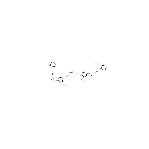 COc1ccccc1OCCNC(C)Cc1ccc(OCOC(=O)C(=O)OCOc2ccc(CC(C)NCCOc3ccccc3OC)cc2S(=O)(=O)C(C)C)c(S(=O)(=O)C(C)C)c1